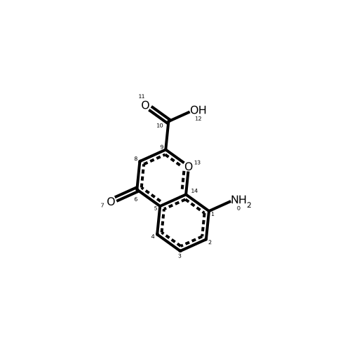 Nc1cccc2c(=O)cc(C(=O)O)oc12